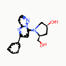 OC[C@@H]1C[C@H](O)CN1c1cc(-c2ccccc2)nc2ccnn12